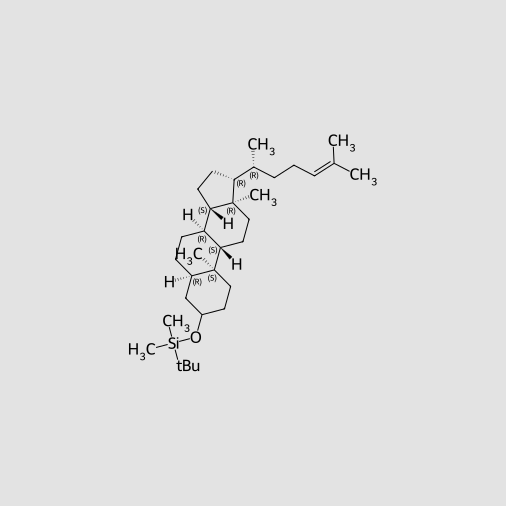 CC(C)=CCC[C@@H](C)[C@H]1CC[C@H]2[C@@H]3CC[C@@H]4CC(O[Si](C)(C)C(C)(C)C)CC[C@]4(C)[C@H]3CC[C@]12C